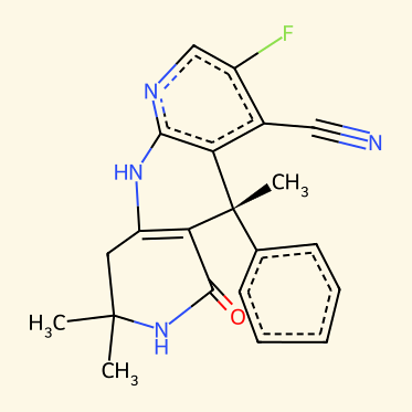 CC1(C)CC2=C(C(=O)N1)[C@@](C)(c1ccccc1)c1c(ncc(F)c1C#N)N2